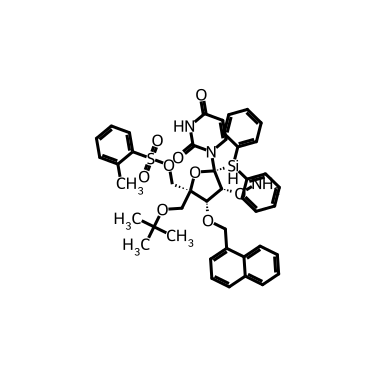 Cc1ccccc1S(=O)(=O)OC[C@]1(COC(C)(C)C)O[C@](n2ccc(=O)[nH]c2=O)([SiH](c2ccccc2)c2ccccc2)[C@H](ON)[C@@H]1OCc1cccc2ccccc12